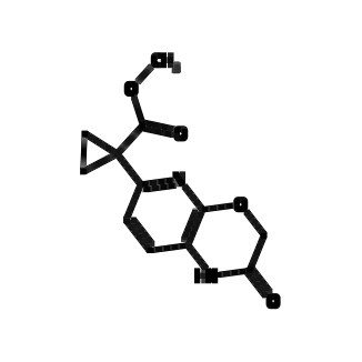 COC(=O)C1(c2ccc3c(n2)OCC(=O)N3)CC1